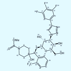 COC(=O)N1CCC(O)([C@@H](S[C@@H]2O[C@H](CO)[C@H](O)[C@H](n3cc(-c4cc(F)c(F)c(F)c4)nn3)[C@H]2O)c2ccccc2C(F)(F)F)CC1